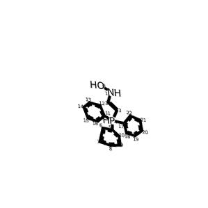 ONC=C[PH](c1ccccc1)(c1ccccc1)c1ccccc1